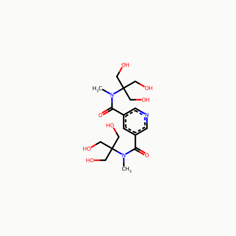 CN(C(=O)c1cncc(C(=O)N(C)C(CO)(CO)CO)c1)C(CO)(CO)CO